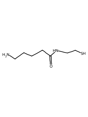 NCCCCC(=O)NCCS